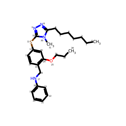 CCCCCCCc1nnc(Sc2ccc(CNc3cc[c]cc3)c(OCCC)c2)n1C